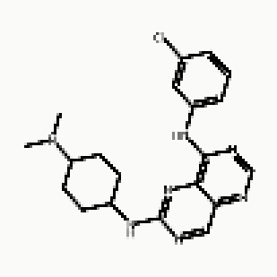 CN(C)C1CCC(Nc2ncc3ncnc(Nc4cccc(Cl)c4)c3n2)CC1